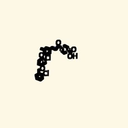 Cc1cc(/C=C/C(=O)N2CCN(C(=O)O)CC2)cc(Cl)c1Oc1ccc(OCc2ccccc2Cl)cn1